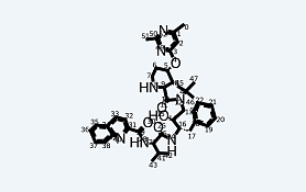 Cc1cc(O[C@@H]2CCNC(C(=O)N(C[C@@H](O)[C@H](Cc3ccccc3)NC(=O)[C@@H](NC(=O)c3ccc4ccccc4n3)C(C)C)C(C)(C)C)C2)nc(C)n1